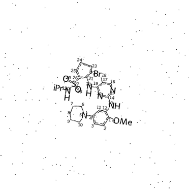 COc1ccc(N2CCCCC2)cc1Nc1ncc(Br)c(Nc2ccccc2S(=O)(=O)NC(C)C)n1